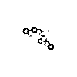 N#Cc1ccccc1-c1ccc(C[C@H](NC(=O)[C@@H]2CCCN2S(=O)(=O)Cc2ccccc2)C(=O)O)cc1